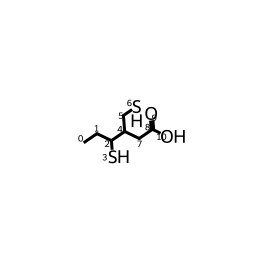 CCC(S)C(CS)CC(=O)O